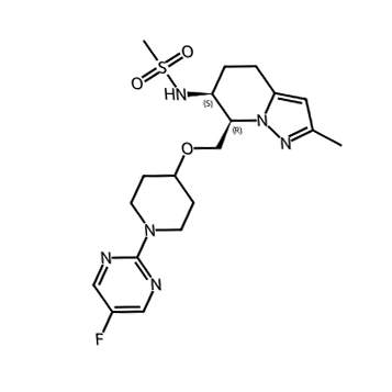 Cc1cc2n(n1)[C@@H](COC1CCN(c3ncc(F)cn3)CC1)[C@@H](NS(C)(=O)=O)CC2